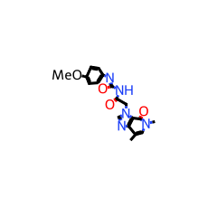 COc1ccc2nc(NC(=O)Cn3cnc4c(C)cn(C)c(=O)c43)oc2c1